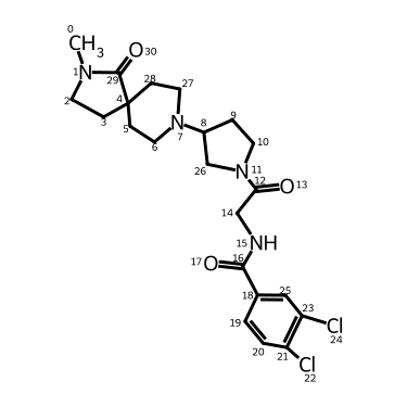 CN1CCC2(CCN(C3CCN(C(=O)CNC(=O)c4ccc(Cl)c(Cl)c4)C3)CC2)C1=O